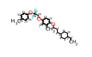 C=CC1CCC(CCCOc2ccc(OCC(F)(F)Oc3ccc(C)cc3)c(F)c2C)CC1